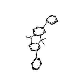 CN1c2ccc(-c3ccccc3)cc2C(C)(C)c2cc(-c3ccccc3)ccc21